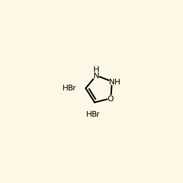 Br.Br.C1=CONN1